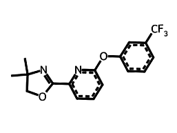 CC1(C)COC(c2cccc(Oc3cccc(C(F)(F)F)c3)n2)=N1